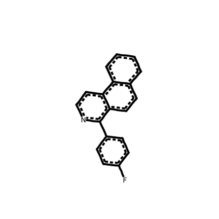 Fc1ccc(-c2nccc3c2ccc2ccccc23)cc1